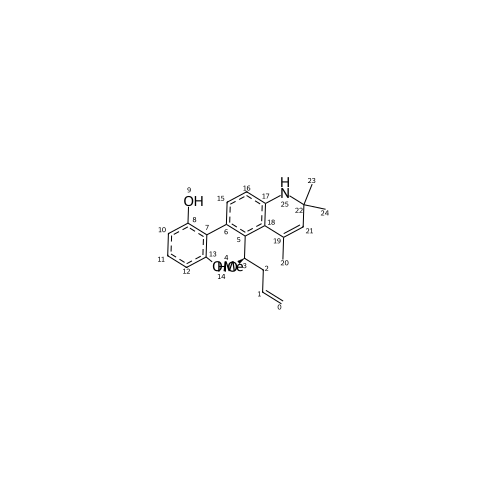 C=CC[C@@H](O)c1c(-c2c(O)cccc2OC)ccc2c1C(C)=CC(C)(C)N2